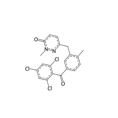 Cc1ccc(C(=O)c2c(Cl)cc(Cl)cc2Cl)cc1Cc1ccc(=O)n(C)n1